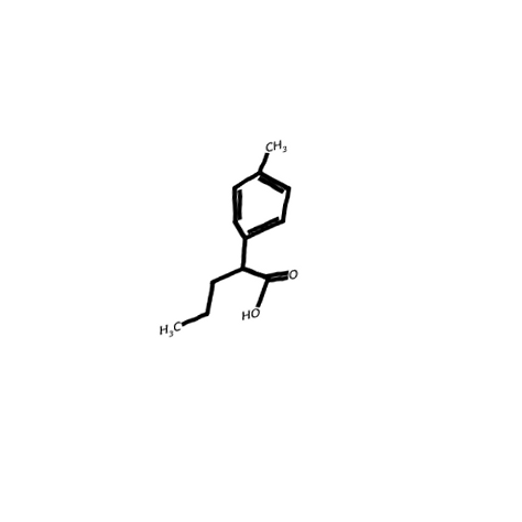 CCCC(C(=O)O)c1ccc(C)cc1